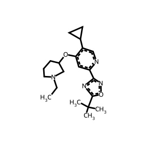 CCN1CCCC(Oc2cc(-c3noc(C(C)(C)C)n3)ncc2C2CC2)C1